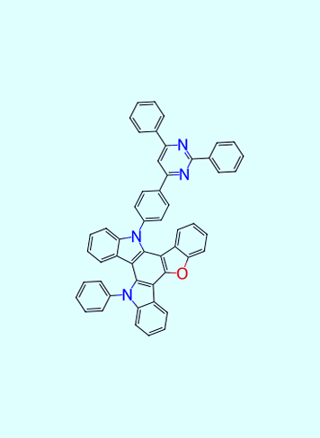 c1ccc(-c2cc(-c3ccc(-n4c5ccccc5c5c6c(c7ccccc7n6-c6ccccc6)c6oc7ccccc7c6c54)cc3)nc(-c3ccccc3)n2)cc1